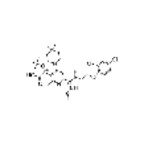 C=CN[C@@H](NCCOc1ccc(Cl)cc1Cl)C1CC(N2CCC(C)(C)CC2)=C([C@H](OC(C)(C)C)C(=O)O)C(C)=N1